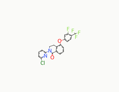 O=C1c2cccc(Oc3ccc(C(F)(F)F)c(F)c3)c2CCN1c1cccc(Cl)n1